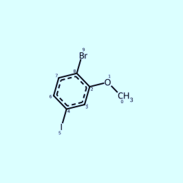 COc1[c]c(I)ccc1Br